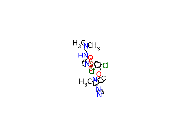 Cc1cc(-n2ccnc2)c2cccc(OCc3c(Cl)ccc(S(=O)(=O)N4CCC[C@H]4C(=O)NCCN(C)C)c3Cl)c2n1